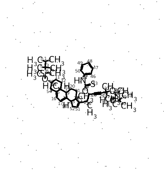 CC(C)C(C)(C)[Si](C)(C)O[C@H]1CC[C@@]2(C)C(=CC=C3[C@@H]2CC[C@]2(C)C([C@H](C)C(C#CC(C)(C)O[Si](C)(C)C(C)(C)C)OC(=S)Nc4ccccc4)=CC[C@@H]32)C1